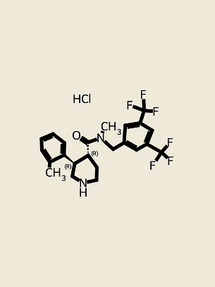 Cc1ccccc1[C@@H]1CNCC[C@H]1C(=O)N(C)Cc1cc(C(F)(F)F)cc(C(F)(F)F)c1.Cl